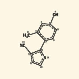 Cc1cc(O)ccc1-c1sccc1C#N